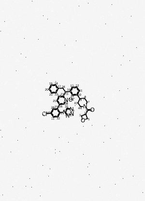 O=C(C1COC1)N1CCC(c2cccc(C(Cc3ccccc3)c3ccc(-c4cc(Cl)ccc4-n4cnnn4)c[n+]3[O-])c2)CC1